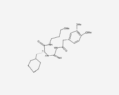 COCCCNC(=O)[C@@H](CC1CCCCC1)NC(=N)NC(=O)Cc1ccc(OC)c(OC)c1